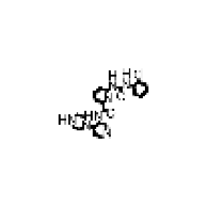 O=C(Nc1cccc(C(=O)Nc2cnccc2N2CCNCC2)n1)Nc1ccccc1Cl